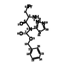 CC(C)CC(N)C(=O)N(C(=O)OCc1ccccc1)c1nncs1